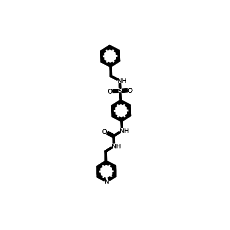 O=C(NCc1ccncc1)Nc1ccc(S(=O)(=O)NCc2ccccc2)cc1